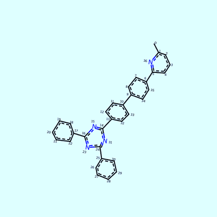 Cc1cccc(-c2ccc(-c3ccc(-c4nc(-c5ccccc5)nc(-c5ccccc5)n4)cc3)cc2)n1